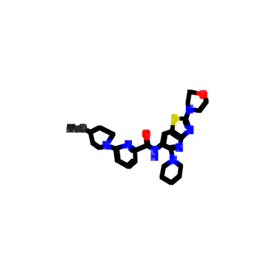 COC1CCN(c2cccc(C(=O)Nc3cc4sc(N5CCOCC5)nc4nc3N3CCCCC3)n2)CC1